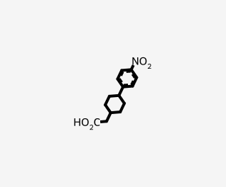 O=C(O)CC1CCC(c2ccc([N+](=O)[O-])cc2)CC1